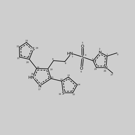 Cc1nc(S(=O)(=O)NCCc2c(-c3cccs3)n[nH]c2-c2cccs2)cn1C